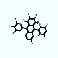 Fc1ccc2c(-c3cc(F)c(F)c(F)c3)c3c(F)c(F)c(F)c(F)c3c(-c3c(F)c(F)cc(F)c3F)c2c1